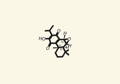 CC(C)C1=C(O)C(=O)C2=C(C1=O)[C@@H]1O[C@@H]1[C@H]1C(C)(C)CCC[C@]21C